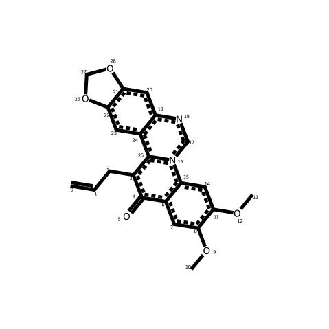 C=CCc1c(=O)c2cc(OC)c(OC)cc2n2cnc3cc4c(cc3c12)OCO4